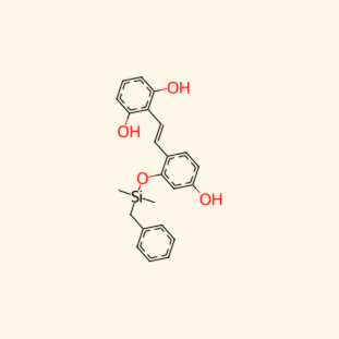 C[Si](C)(Cc1ccccc1)Oc1cc(O)ccc1C=Cc1c(O)cccc1O